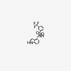 O=S(=O)(NCc1cccc2[nH]ccc12)c1cccc(C(F)(F)F)c1